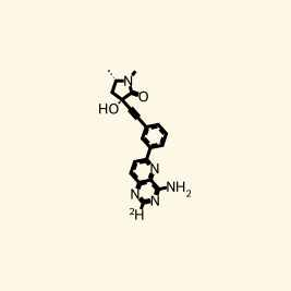 [2H]c1nc(N)c2nc(-c3cccc(C#C[C@@]4(O)C[C@H](C)N(C)C4=O)c3)ccc2n1